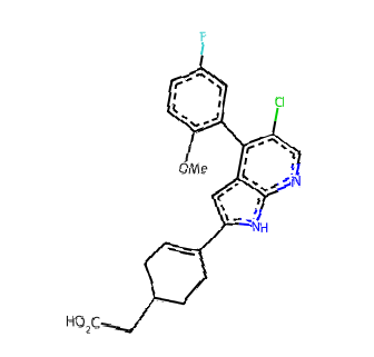 COc1ccc(F)cc1-c1c(Cl)cnc2[nH]c(C3=CCC(CC(=O)O)CC3)cc12